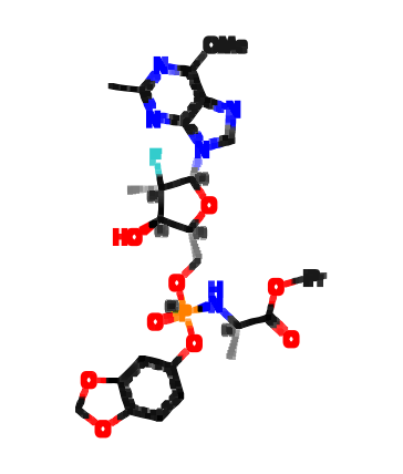 COc1nc(C)nc2c1ncn2[C@@H]1O[C@H](CO[P@](=O)(N[C@@H](C)C(=O)OC(C)C)Oc2ccc3c(c2)OCO3)[C@@H](O)[C@@]1(C)F